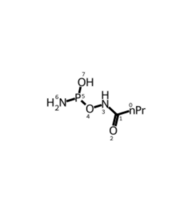 CCCC(=O)NOP(N)O